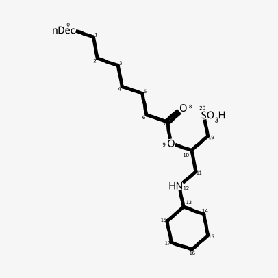 CCCCCCCCCCCCCCCCC(=O)OC(CNC1CCCCC1)CS(=O)(=O)O